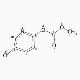 COC(=O)Oc1ccc(Cl)cn1